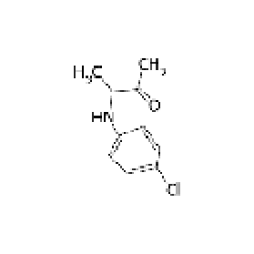 CC(=O)C(C)Nc1ccc(Cl)cc1